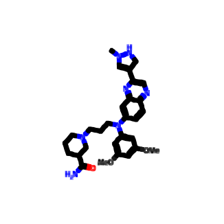 COc1cc(OC)cc(N(CCCN2CCCC(C(N)=O)C2)c2ccc3ncc(C4=CN(C)NC4)nc3c2)c1